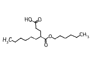 CCCCCCOC(=O)C(CCCCCC)CCC(=O)O